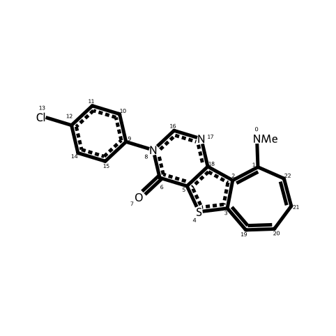 CNC1=c2c(sc3c(=O)n(-c4ccc(Cl)cc4)cnc23)=C=CC=C1